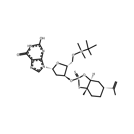 C=C(C)[C@@H]1CC[C@]2(C)SP(=S)(O[C@H]3C[C@H](n4cnc5c(=O)[nH]c(O)nc54)O[C@@H]3CO[Si](C)(C)C(C)(C)C)O[C@H]2C1